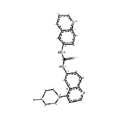 CN1CCN(c2ccnc3ccc(NC(=O)Nc4ccc5ncccc5c4)cc23)CC1